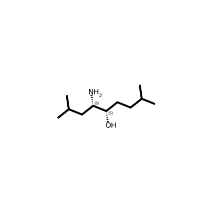 CC(C)CC[C@H](O)[C@@H](N)CC(C)C